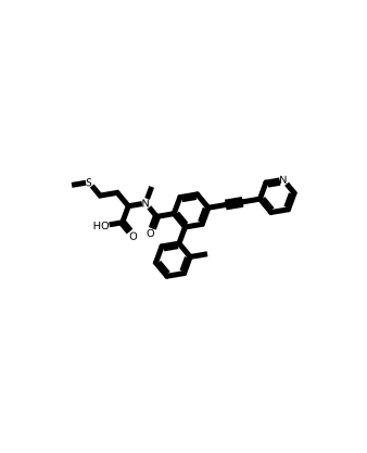 CSCCC(C(=O)O)N(C)C(=O)c1ccc(C#Cc2cccnc2)cc1-c1ccccc1C